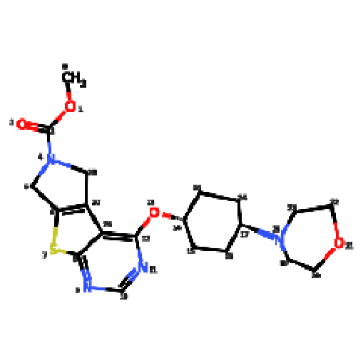 COC(=O)N1Cc2sc3ncnc(O[C@H]4CC[C@H](N5CCOCC5)CC4)c3c2C1